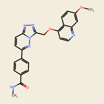 CNC(=O)c1ccc(-c2ccc3nnc(COc4ccnc5cc(OC)ccc45)n3n2)cc1